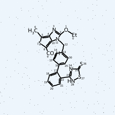 CCOc1nc2c(C)sc(C(=O)O)c2n1Cc1ccc(-c2ccccc2-c2nc(=S)s[nH]2)cc1